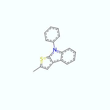 Cc1cc2c3ccccc3n(-c3ccccc3)c2s1